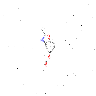 Cc1nc2cc(OC=O)ccc2o1